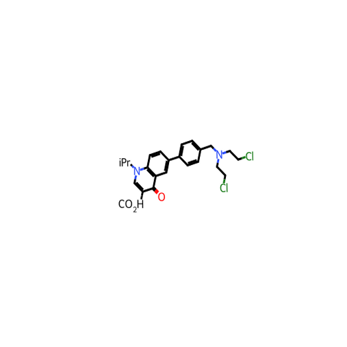 CC(C)n1cc(C(=O)O)c(=O)c2cc(-c3ccc(CN(CCCl)CCCl)cc3)ccc21